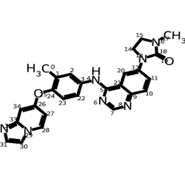 Cc1cc(Nc2ncnc3ccc(N4CCN(C)C4=O)cc23)ccc1Oc1ccn2ccnc2c1